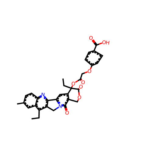 CCc1c2c(nc3ccc(C)cc13)-c1cc3c(c(=O)n1C2)COC(=O)C3(CC)OC(=O)COc1ccc(C(=O)O)cc1